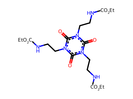 CCOC(=O)NCCn1c(=O)n(CCNC(=O)OCC)c(=O)n(CCNC(=O)OCC)c1=O